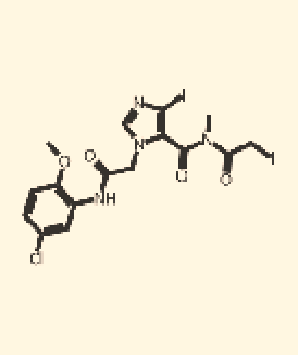 COc1ccc(Cl)cc1NC(=O)Cn1cnc(I)c1C(=O)N(C)C(=O)CI